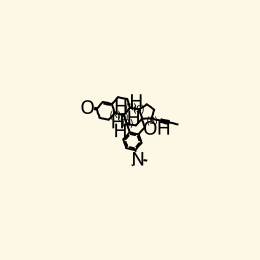 CC#C[C@]1(O)CC[C@H]2[C@@H]3CCC4=CC(=O)CC[C@@H]4[C@H]3[C@H]3CC21Cc1cc(N(C)C)ccc13